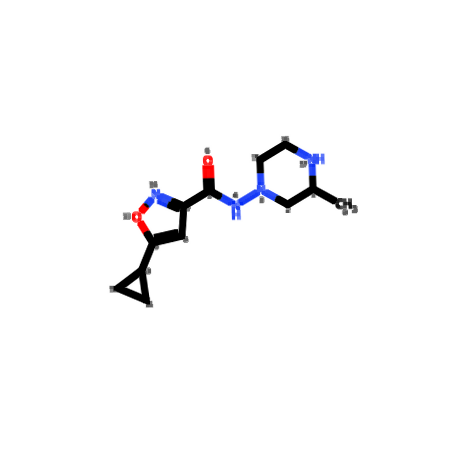 CC1CN(NC(=O)c2cc(C3CC3)on2)CCN1